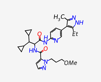 CCc1[nH]nc(C)c1-c1ccc(NC(=O)C(NC(=O)c2ccnn2CCCOC)C(C2CC2)C2CC2)nc1